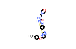 CC1CCC(Oc2ccc3nnc(Sc4ccc5nc(NC(=O)NCCN6CCOCC6)sc5c4)n3n2)CC1